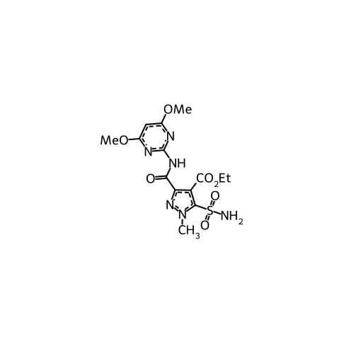 CCOC(=O)c1c(C(=O)Nc2nc(OC)cc(OC)n2)nn(C)c1S(N)(=O)=O